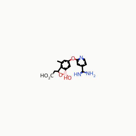 Cc1cc(Oc2cc(C(=N)N)ccn2)cc2c1C(CC(=O)O)OB2O